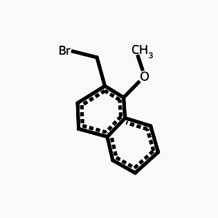 COc1c(CBr)ccc2ccccc12